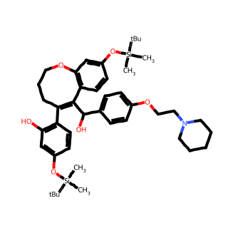 CC(C)(C)[Si](C)(C)Oc1ccc(C2=C(C(O)c3ccc(OCCN4CCCCC4)cc3)c3ccc(O[Si](C)(C)C(C)(C)C)cc3OCCC2)c(O)c1